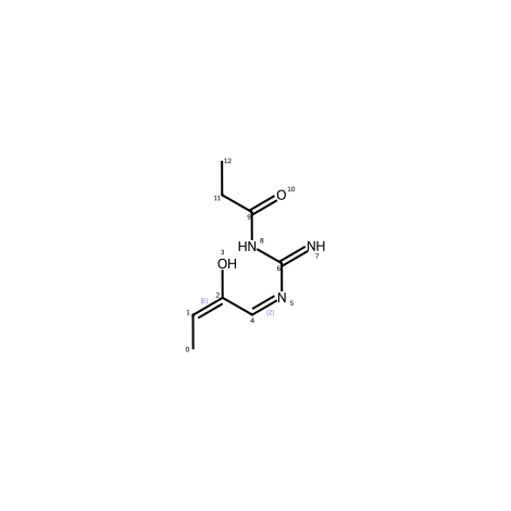 C/C=C(O)\C=N/C(=N)NC(=O)CC